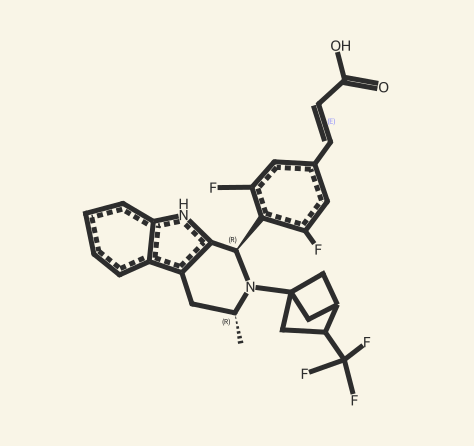 C[C@@H]1Cc2c([nH]c3ccccc23)[C@@H](c2c(F)cc(/C=C/C(=O)O)cc2F)N1C12CC(C1)C(C(F)(F)F)C2